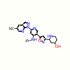 CC(C)Nc1cc(-n2ncc3cc(C#N)cnc32)ncc1-c1cc(C2CC(O)CCN2)no1